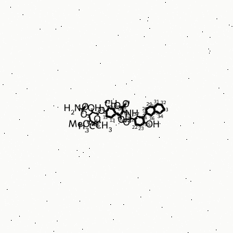 CO[C@@H]1[C@@H](OC(N)=O)[C@@H](O)[C@H](Oc2ccc3c(O)c(NC(=O)c4ccc(O)c(-c5ccc6ccccc6c5)c4)c(=O)oc3c2C)OC1(C)C